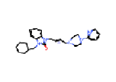 O=c1n(C/C=C/CN2CCN(c3ccccn3)CC2)c2ccccc2n1CC1CCCCC1